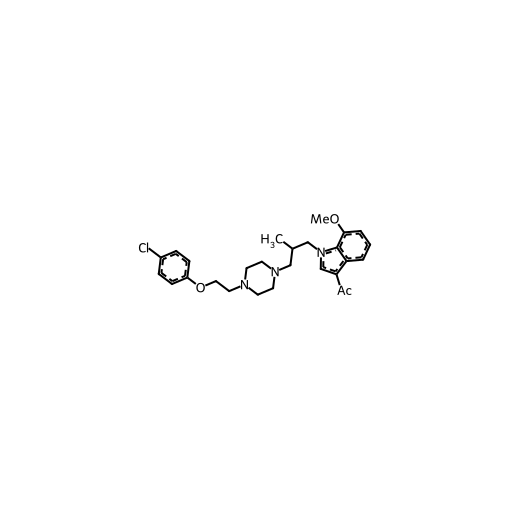 COc1cccc2c(C(C)=O)cn(CC(C)CN3CCN(CCOc4ccc(Cl)cc4)CC3)c12